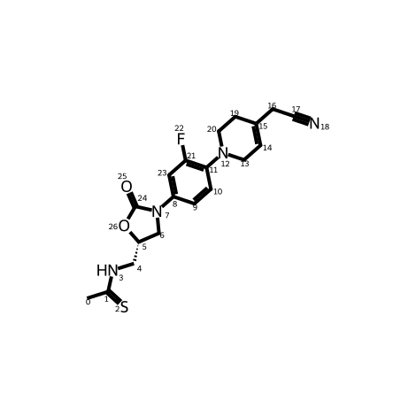 CC(=S)NC[C@H]1CN(c2ccc(N3CC=C(CC#N)CC3)c(F)c2)C(=O)O1